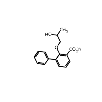 CC(O)COc1c(C(=O)O)cccc1-c1ccccc1